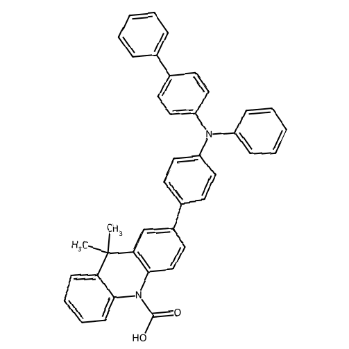 CC1(C)c2ccccc2N(C(=O)O)c2ccc(-c3ccc(N(c4ccccc4)c4ccc(-c5ccccc5)cc4)cc3)cc21